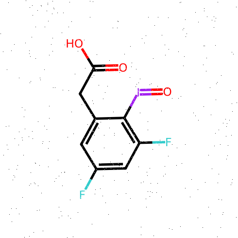 O=Ic1c(F)cc(F)cc1CC(=O)O